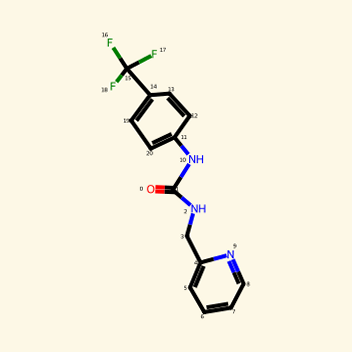 O=C(NCc1ccccn1)Nc1ccc(C(F)(F)F)cc1